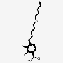 CCCCCOCCCCOc1ccc(B(O)O)c(F)c1F